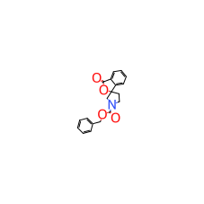 O=C1OC2(CCN(C(=O)OCc3ccccc3)C2)c2ccccc21